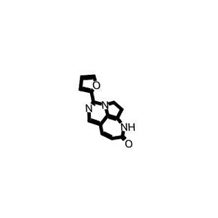 O=C1C=CC2=CN=C(c3ccco3)N3CCC(=C23)N1